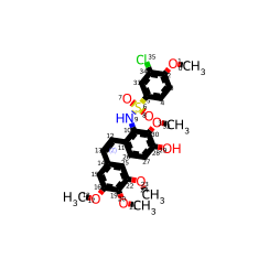 COc1ccc(S(=O)(=O)Nc2c(/C=C\c3cc(OC)c(OC)c(OC)c3)ccc(O)c2OC)cc1Cl